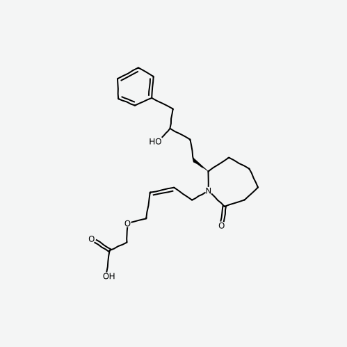 O=C(O)COC/C=C\CN1C(=O)CCCC[C@@H]1CCC(O)Cc1ccccc1